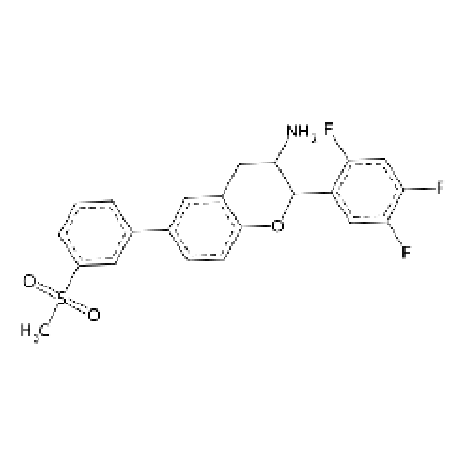 CS(=O)(=O)c1cccc(-c2ccc3c(c2)CC(N)C(c2cc(F)c(F)cc2F)O3)c1